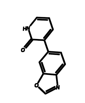 O=c1[nH]cccc1-c1ccc2ncoc2c1